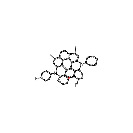 Cc1cc(N(c2ccccc2)c2ccc(F)cc2)c2c3ccccc3c3c(N(c4ccccc4)c4ccc(F)cc4)cc(C)c4ccc1c2c43